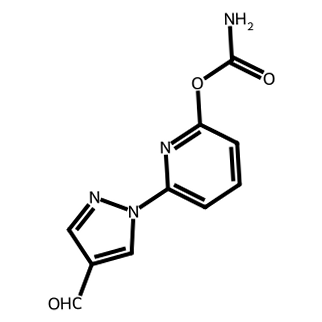 NC(=O)Oc1cccc(-n2cc(C=O)cn2)n1